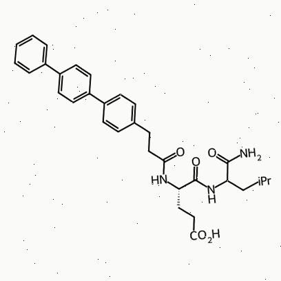 CC(C)CC(NC(=O)[C@H](CCC(=O)O)NC(=O)CCc1ccc(-c2ccc(-c3ccccc3)cc2)cc1)C(N)=O